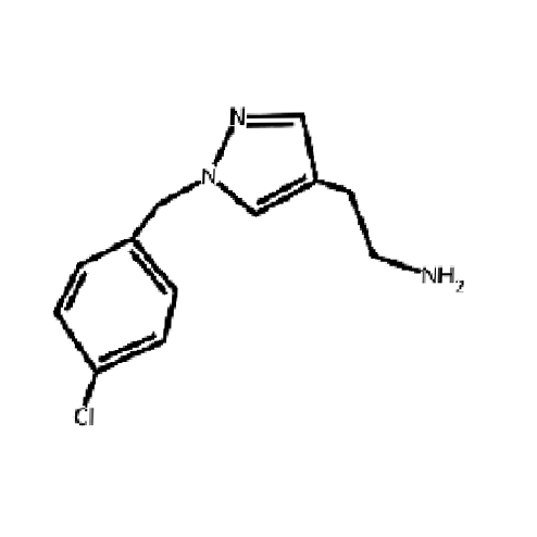 NCCc1cnn(Cc2ccc(Cl)cc2)c1